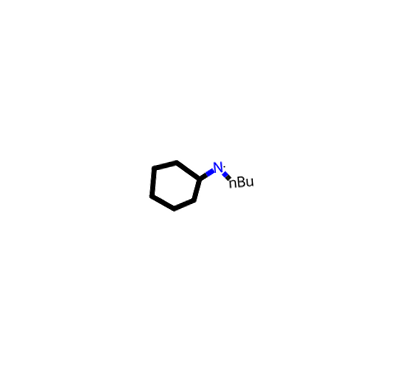 CCCC[N]C1CCCCC1